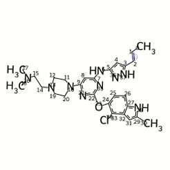 C/C=C/c1cc(Nc2cc(N3CCN(CCN(C)C)CC3)nc(Oc3ccc4[nH]c(C)cc4c3Cl)n2)n[nH]1